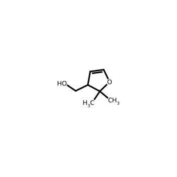 CC1(C)OC=CC1CO